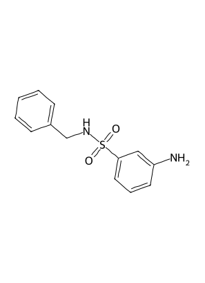 Nc1cccc(S(=O)(=O)NCc2ccccc2)c1